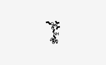 CCCOP(OCCNCCP(=O)(OC)OC)N(C(C)C)C(C)C